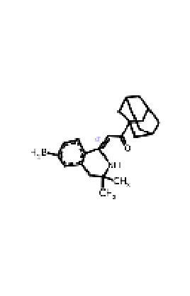 Bc1ccc2c(c1)CC(C)(C)N/C2=C\C(=O)C12CC3CC(CC(C3)C1)C2